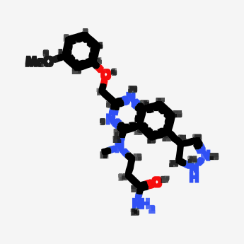 COc1cccc(OCc2nc(N(C)CCC(N)=O)c3cc(C4C=NNC4)ccc3n2)c1